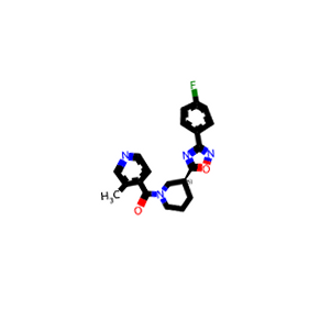 Cc1cnccc1C(=O)N1CCC[C@H](c2nc(-c3ccc(F)cc3)no2)C1